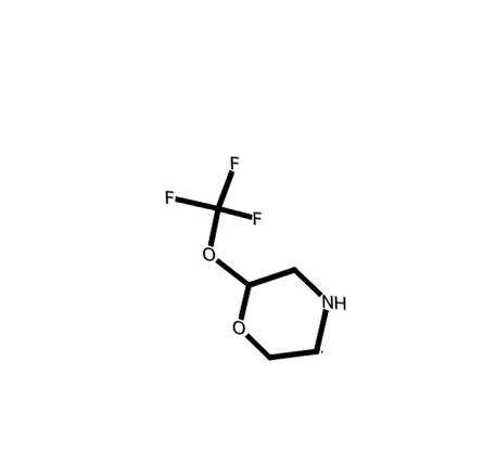 FC(F)(F)OC1CN[CH]CO1